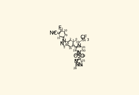 Cc1cc2c(cnn2-c2ccc(F)c(C#N)c2)cc1C1CN(S(=O)(=O)c2cnn(C)n2)CCN1CCC(F)(F)F